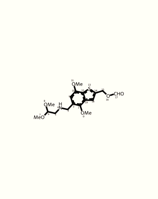 COc1c(CNCC(OC)OC)cc(OC)c2sc(COC=O)cc12